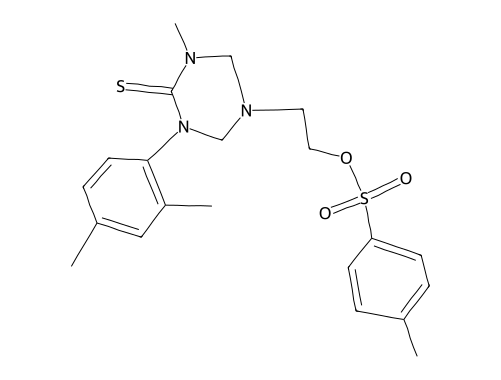 Cc1ccc(S(=O)(=O)OCCN2CN(C)C(=S)N(c3ccc(C)cc3C)C2)cc1